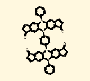 O=C1C=Cc2cc3c(cc21)B(c1ccc(B2c4cc5c(cc4N(c4ccccc4)c4cc6c(cc42)C(=O)C=C6)C=CC5=O)cc1)c1cc2c(cc1N3c1ccccc1)C=CC2=O